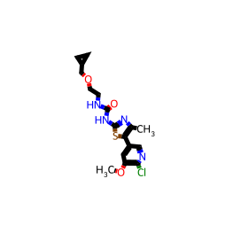 COc1cc(-c2sc(NC(=O)NCCOCC3CC3)nc2C)cnc1Cl